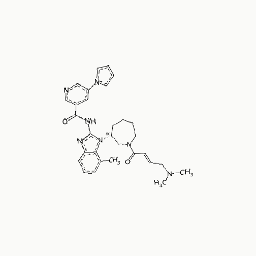 Cc1cccc2nc(NC(=O)c3cncc(-n4cccc4)c3)n([C@@H]3CCCCN(C(=O)C=CCN(C)C)C3)c12